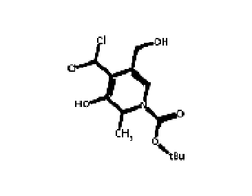 CC1C(O)=C(C(Cl)Cl)C(CO)=CN1C(=O)OC(C)(C)C